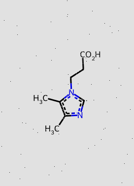 Cc1n[c]n(CCC(=O)O)c1C